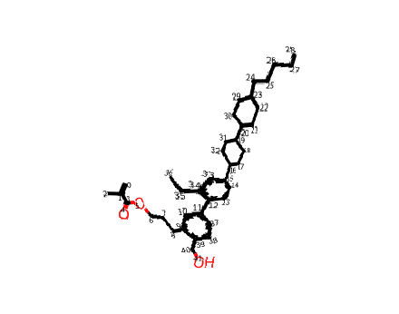 C=C(C)C(=O)OCCCc1cc(-c2ccc(C3CCC(C4CCC(CCCCC)CC4)CC3)cc2CC)ccc1CO